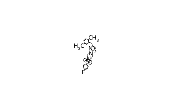 Cc1ccc(C)c(Cc2csc(N3CCN(S(=O)(=O)c4ccc(F)cc4)CC3)n2)c1